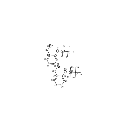 CC(C)(C)[Si](C)(C)Oc1ccccc1CBr.CC(C)(C)[Si](C)(C)Oc1ccccc1CBr